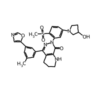 Cc1cc(-c2cnco2)cc(-c2nn(-c3cc(N4CCC(O)C4)ccc3S(C)(=O)=O)c(=O)c3c2CCCN3)c1